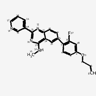 CCCOc1ccc(-c2ccc3nc(-c4cccnc4)nc(NC)c3c2)c(F)c1